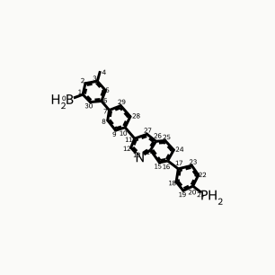 Bc1cc(C)cc(-c2ccc(-c3cnc4cc(-c5ccc(P)cc5)ccc4c3)cc2)c1